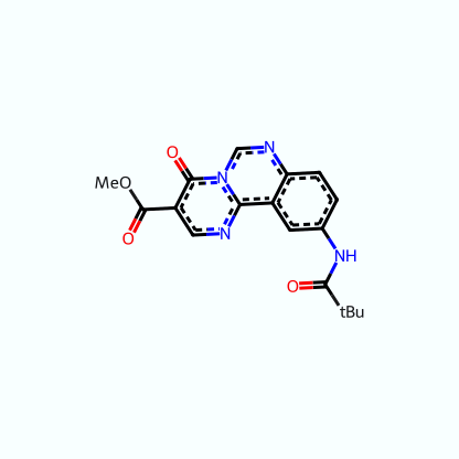 COC(=O)c1cnc2c3cc(NC(=O)C(C)(C)C)ccc3ncn2c1=O